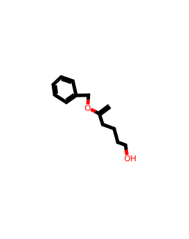 C=C(CCCCO)OCc1ccccc1